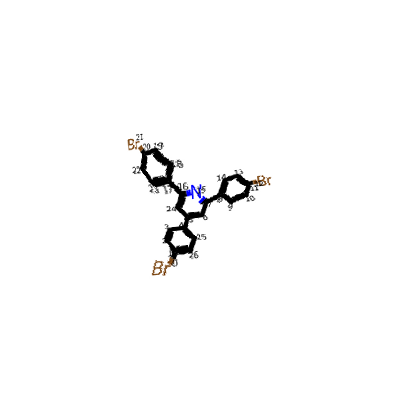 Brc1ccc(-c2cc(-c3ccc(Br)cc3)nc(-c3ccc(Br)cc3)c2)cc1